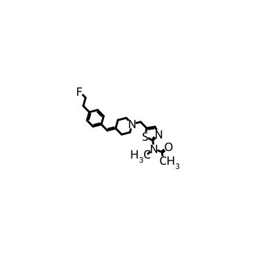 CC(=O)N(C)c1ncc(CN2CCC(=Cc3ccc(CCF)cc3)CC2)s1